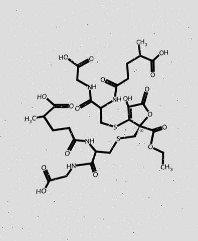 CCOC(=O)[C@@]1(CSCC(NC(=O)CCC(C)C(=O)O)C(=O)NCC(=O)O)OC(=O)C(O)=C1SCC(NC(=O)CCC(C)C(=O)O)C(=O)NCC(=O)O